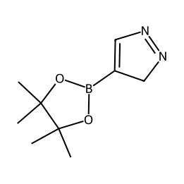 CC1(C)OB(C2=CN=NC2)OC1(C)C